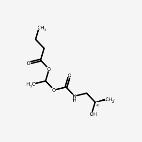 [CH2][C@@H](O)CNC(=O)OC(C)OC(=O)CCC